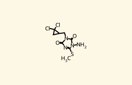 CSc1nc(=O)n(CC2CC2(Cl)Cl)c(=O)n1N